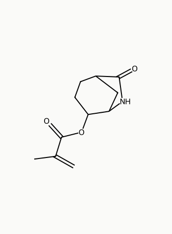 C=C(C)C(=O)OC1CCC2CC1NC2=O